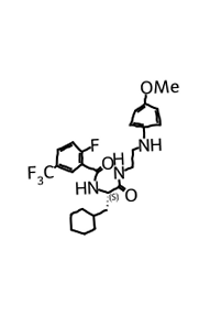 COc1ccc(NCCNC(=O)[C@H](CC2CCCCC2)NC(=O)c2cc(C(F)(F)F)ccc2F)cc1